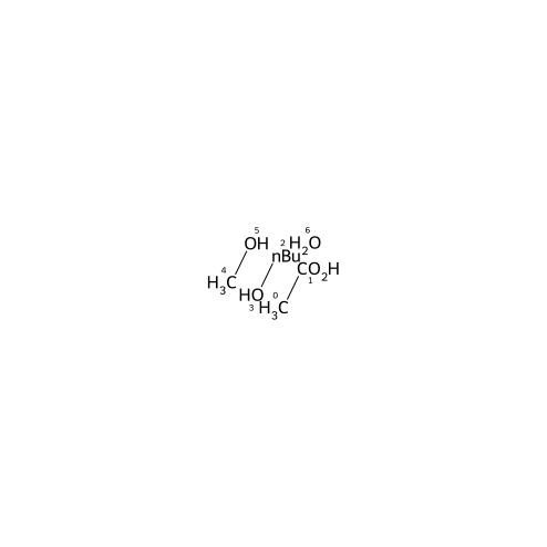 CC(=O)O.CCCCO.CO.O